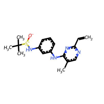 C=Cc1ncc(C)c(Nc2cccc(N[S+]([O-])C(C)(C)C)c2)n1